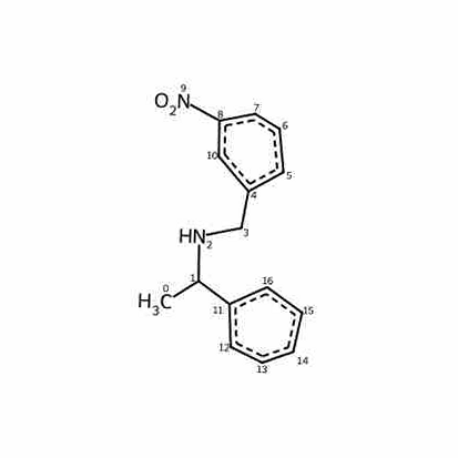 CC(NCc1cccc([N+](=O)[O-])c1)c1ccccc1